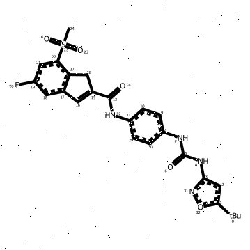 CC(C)(C)c1cc(NC(=O)Nc2ccc(NC(=O)C3=Cc4cc(F)cc(S(C)(=O)=O)c4C3)cc2)no1